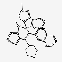 Cc1ccc([B-]2(c3ccccc3)C(c3ccc4ccccc4c3)=C(C3CCCCC3)c3ccccc3[O+]2C)cc1